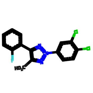 O=C(O)c1nn(-c2ccc(Cl)c(Cl)c2)nc1-c1ccccc1F